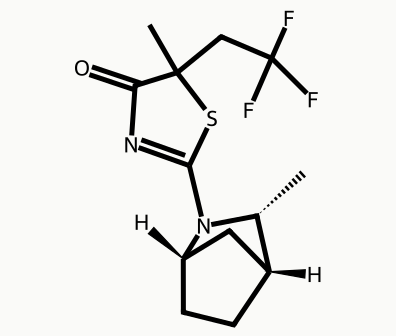 C[C@@H]1[C@@H]2CC[C@@H](C2)N1C1=NC(=O)C(C)(CC(F)(F)F)S1